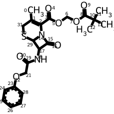 CC1=C(C(=O)OCOC(=O)C(C)(C)C)N2C(=O)C(NC(=O)COc3ccccc3)C2SC1